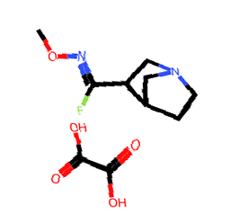 CON=C(F)C1CN2CCC1C2.O=C(O)C(=O)O